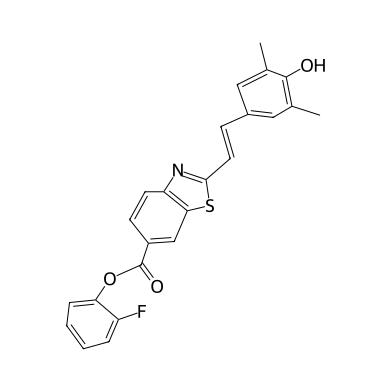 Cc1cc(/C=C/c2nc3ccc(C(=O)Oc4ccccc4F)cc3s2)cc(C)c1O